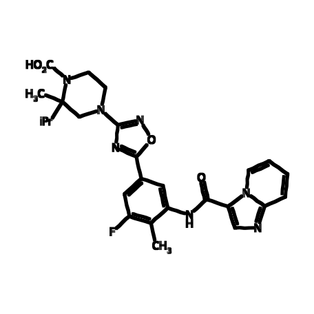 Cc1c(F)cc(-c2nc(N3CCN(C(=O)O)C(C)(C(C)C)C3)no2)cc1NC(=O)c1cnc2ccccn12